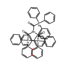 O=[C]([Rh]([C](=O)[PH](c1ccccc1)(c1ccccc1)c1ccccc1)[C](=O)[PH](c1ccccc1)(c1ccccc1)c1ccccc1)[PH](c1ccccc1)(c1ccccc1)c1ccccc1